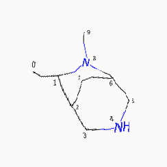 CC1C2CNCC(C2)N1C